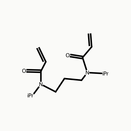 C=CC(=O)N(CCCN(C(=O)C=C)C(C)C)C(C)C